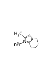 CCCn1c(C)cc2c1CCCC2